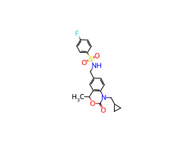 CC1OC(=O)N(CC2CC2)c2ccc(CNS(=O)(=O)c3ccc(F)cc3)cc21